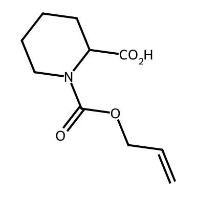 C=CCOC(=O)N1CCCCC1C(=O)O